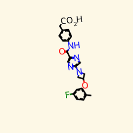 Cc1ccc(F)cc1OC1CN(c2cnc(C(=O)Nc3ccc(CC(=O)O)cc3)cn2)C1